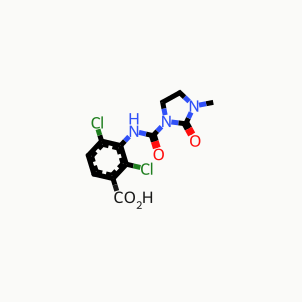 CN1CCN(C(=O)Nc2c(Cl)ccc(C(=O)O)c2Cl)C1=O